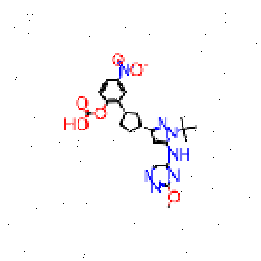 COc1nncc(Nc2cc([C@H]3CC[C@@H](c4cc([N+](=O)[O-])ccc4OC(=O)O)C3)nn2C(C)(C)C)n1